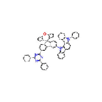 c1ccc(-c2nc(-c3ccccc3)nc(-c3ccc4c(c3)-c3cc(-n5c6ccccc6c6ccc7c(c8ccccc8n7-c7ccccc7)c65)ccc3C43c4ccccc4Oc4ccccc43)n2)cc1